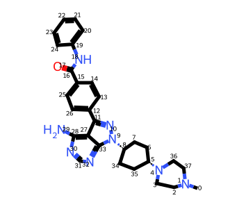 CN1CCN([C@H]2CC[C@@H](n3nc(-c4ccc(C(=O)Nc5ccccc5)cc4)c4c(N)ncnc43)CC2)CC1